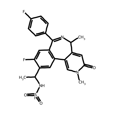 CC1N=C(c2ccc(F)cc2)c2cc(F)c(C(C)N[SH](=O)=O)cc2-c2cn(C)c(=O)cc21